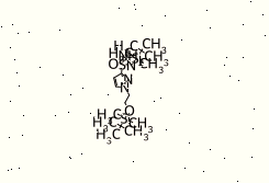 CC(C)(C)[Si](C)(C)N=S(N)(=O)c1ccn(CCO[Si](C)(C)C(C)(C)C)n1